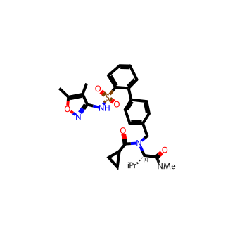 CNC(=O)[C@H](C(C)C)N(Cc1ccc(-c2ccccc2S(=O)(=O)Nc2noc(C)c2C)cc1)C(=O)C1CC1